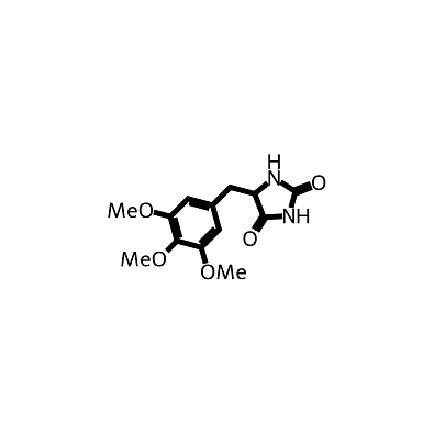 COc1cc(CC2NC(=O)NC2=O)cc(OC)c1OC